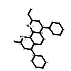 CCC1CC(C2CCCCC2)C2CCC3C(C4CCCCC4)CC(C)NC3C2N1